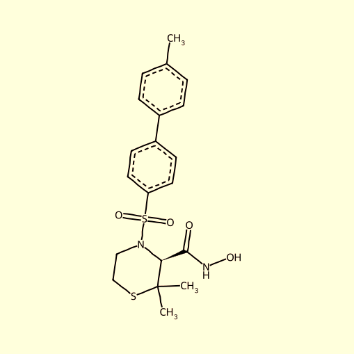 Cc1ccc(-c2ccc(S(=O)(=O)N3CCSC(C)(C)[C@@H]3C(=O)NO)cc2)cc1